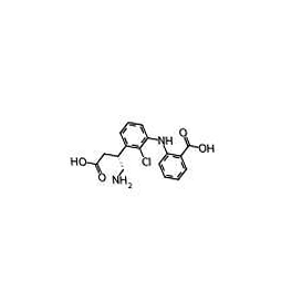 NC[C@H](CC(=O)O)c1cccc(Nc2ccccc2C(=O)O)c1Cl